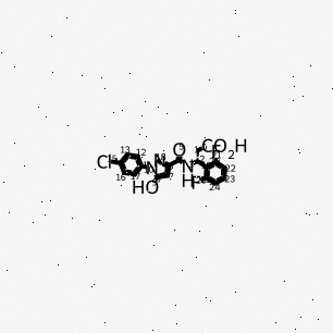 O=C(O)C[C@H](NC(=O)c1cc(O)n(-c2ccc(Cl)cc2)n1)c1c(F)cccc1F